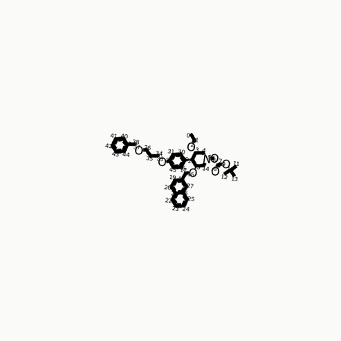 CCO[C@@H]1CN(OC(=O)OC(C)(C)C)C[C@H](OCc2ccc3ccccc3c2)[C@H]1c1ccc(OCCCOCc2ccccc2)cc1